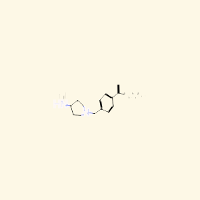 C=C(NC)c1ccc(CN2CCC(NCCC)CC2)cc1